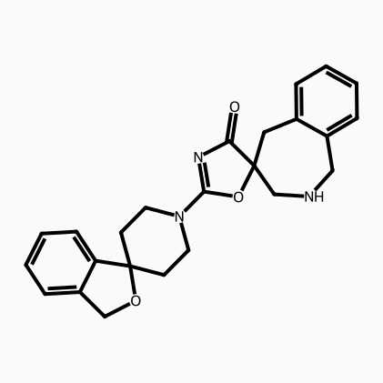 O=C1N=C(N2CCC3(CC2)OCc2ccccc23)OC12CNCc1ccccc1C2